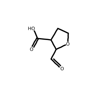 O=CC1OCCC1C(=O)O